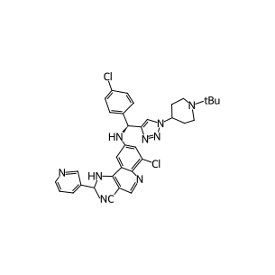 CC(Nc1c(C#N)cnc2c(Cl)cc(N[C@@H](c3ccc(Cl)cc3)c3cn(C4CCN(C(C)(C)C)CC4)nn3)cc12)c1cccnc1